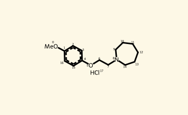 COc1ccc(OCCN2CCCCCC2)cc1.Cl